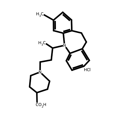 Cc1ccc2c(c1)N(C(C)CCN1CCC(C(=O)O)CC1)c1ccccc1CC2.Cl